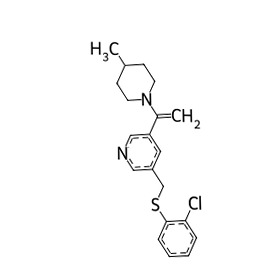 C=C(c1cncc(CSc2ccccc2Cl)c1)N1CCC(C)CC1